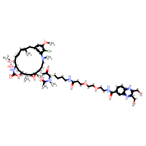 COc1cc2cc(c1Cl)N(C)CC[C@H](CC(=O)[C@H](CCCCNC(=O)CCOCCOCCNC(=O)c1ccc3nc(CBr)c(CBr)nc3c1)N(C)C(C)=O)[C@]1(C)OC1[C@H](C)[C@@H]1C[C@@](O)(NC(=O)O1)[C@H](OC)/C=C/C=C(\C)C2